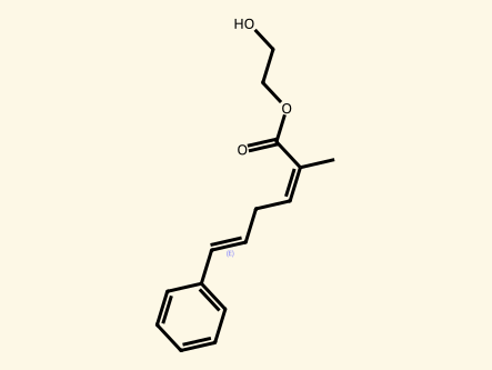 CC(=CC/C=C/c1ccccc1)C(=O)OCCO